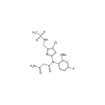 CC(C)COc1cc(F)ccc1N(C(=O)CC(N)=O)c1nc(CNS(C)(=O)=O)c(Cl)s1